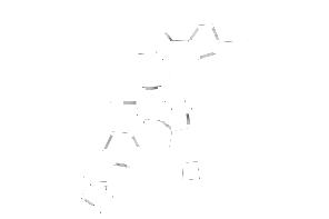 C[C@H]1Cc2c(n3ncc(CC4CCC4)c3n(-c3ccc(-c4nncn4C)cc3)c2=O)CN1C(=O)c1ccc(Br)c(Cl)c1